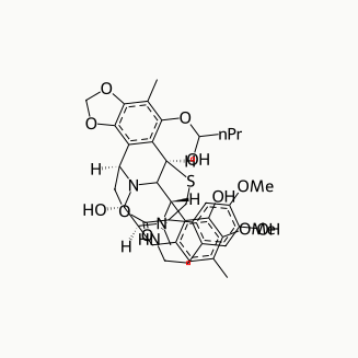 CCCC(O)Oc1c(C)c2c(c3c1[C@H]1SC[C@]4(NCCc5cc(O)c(OC)cc54)C(=O)OC[C@@H]3N3C1[C@@H]1c4c(cc(C)c(OC)c4O)C[C@@H]([C@@H]3O)N1C)OCO2